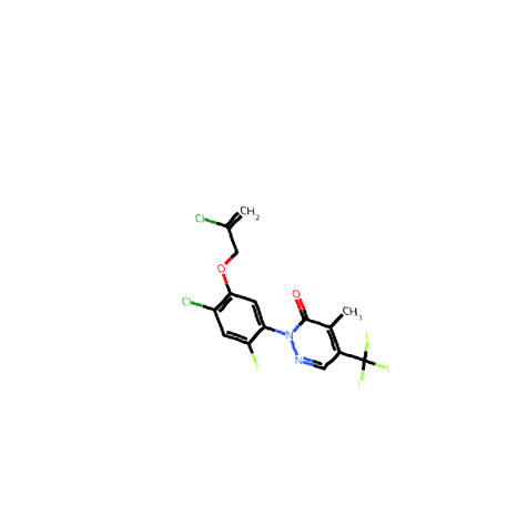 C=C(Cl)COc1cc(-n2ncc(C(F)(F)F)c(C)c2=O)c(F)cc1Cl